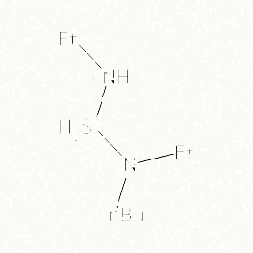 CCCCN(CC)[SiH2]NCC